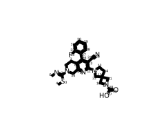 CN=C(SC)N1CCc2c(nc(N3CCC4(CN(C(=O)O)C4)C3)c(C#N)c2-c2ccccc2F)C1